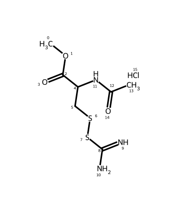 COC(=O)C(CSSC(=N)N)NC(C)=O.Cl